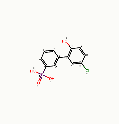 O=P(O)(O)c1cccc(-c2cc(Cl)ccc2O)c1